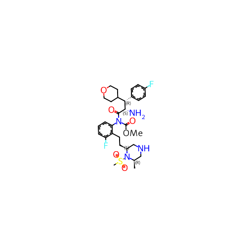 COC(=O)N(C(=O)[C@@H](N)[C@@H](c1ccc(F)cc1)C1CCOCC1)c1cccc(F)c1CC[C@H]1CNC[C@@H](C)N1S(C)(=O)=O